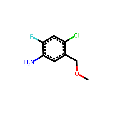 COCc1cc(N)c(F)cc1Cl